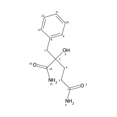 NC(=O)CCC(O)(Cc1ccccc1)C(N)=O